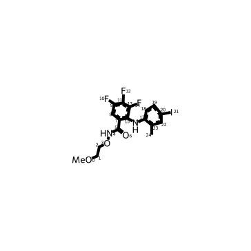 COCCONC(=O)c1cc(F)c(F)c(F)c1Nc1ccc(I)cc1C